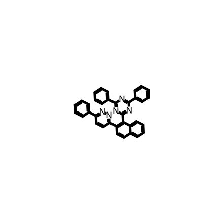 c1ccc(-c2ccc(-c3ccc4ccccc4c3-c3nc(-c4ccccc4)nc(-c4ccccc4)n3)nn2)cc1